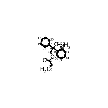 C=CC(=O)OCC(O[SiH3])(c1ccccc1)c1ccccc1